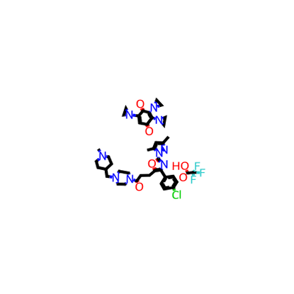 Cc1cc(C)n(-c2nc(-c3ccc(Cl)cc3)c(CCC(=O)N3CCN(CC4CCN(C)CC4)CC3)o2)n1.O=C(O)C(F)(F)F.O=C1C=C(N2CC2)C(=O)C(N2CC2)=C1N1CC1